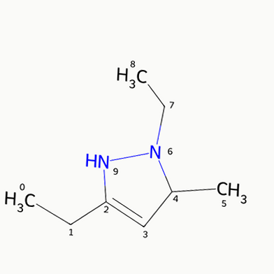 CCC1=CC(C)N(CC)N1